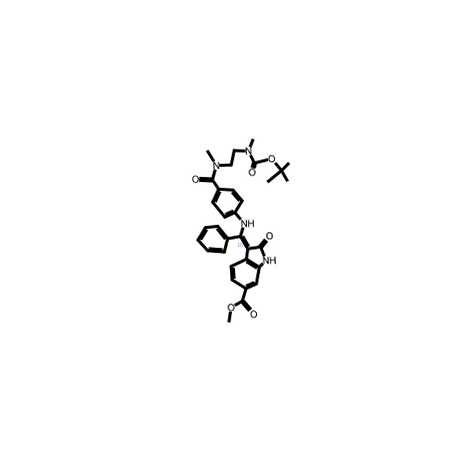 COC(=O)c1ccc2c(c1)NC(=O)/C2=C(\Nc1ccc(C(=O)N(C)CCN(C)C(=O)OC(C)(C)C)cc1)c1ccccc1